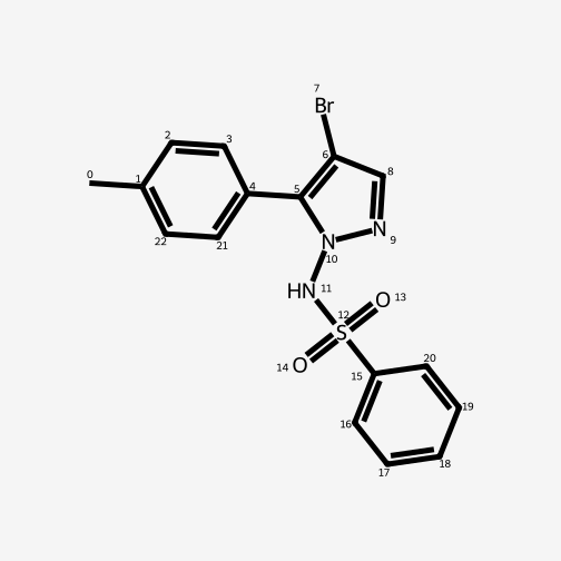 Cc1ccc(-c2c(Br)cnn2NS(=O)(=O)c2ccccc2)cc1